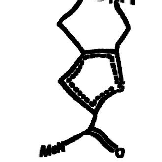 CNC(=O)c1cc2c(s1)CNCC2